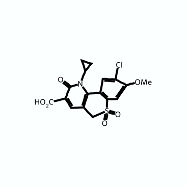 COc1cc2c(cc1Cl)-c1c(cc(C(=O)O)c(=O)n1C1CC1)CS2(=O)=O